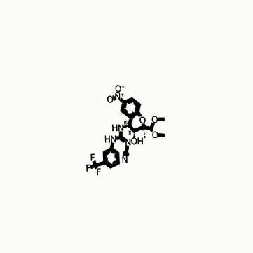 COC(OC)[C@]1(C)Oc2ccc([N+](=O)[O-])cc2[C@H](NC(=NC#N)Nc2cccc(C(F)(F)F)c2)[C@H]1O